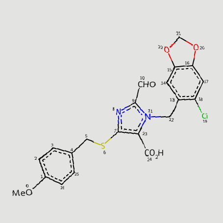 COc1ccc(CSc2nc(C=O)n(Cc3cc4c(cc3Cl)OCO4)c2C(=O)O)cc1